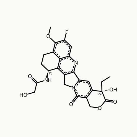 CC[C@@]1(O)C(=O)OCc2c1cc1n(c2=O)Cc2c-1nc1cc(F)c(OC)c3c1c2[C@@H](NC(=O)CO)CC3